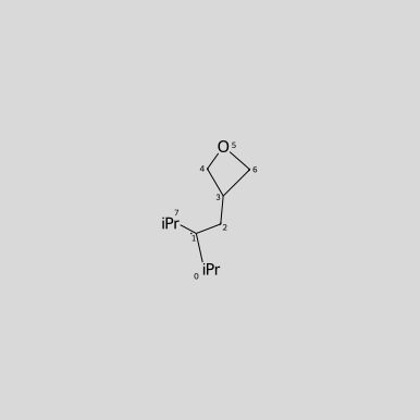 CC(C)[C](CC1COC1)C(C)C